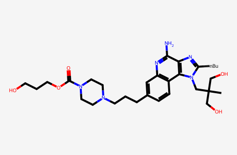 CCCCc1nc2c(N)nc3cc(CCCN4CCN(C(=O)OCCCO)CC4)ccc3c2n1CC(C)(CO)CO